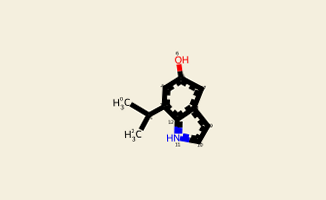 CC(C)c1cc(O)cc2cc[nH]c12